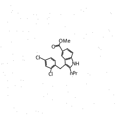 CCCc1[nH]c2ccc(C(=O)OC)cc2c1Cc1ccc(Cl)cc1Cl